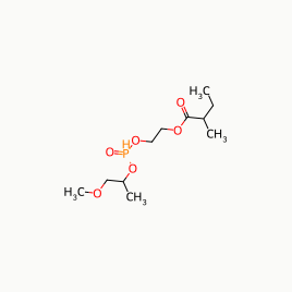 CCC(C)C(=O)OCCO[PH](=O)OC(C)COC